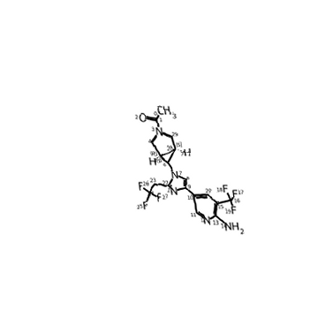 CC(=O)N1C[C@@H]2C(n3cc(-c4cnc(N)c(C(F)(F)F)c4)nc3CC(F)(F)F)[C@@H]2C1